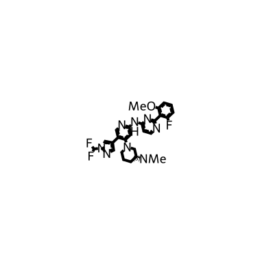 CN[C@H]1CCCN(c2cc(Nc3ccnc(-c4c(F)cccc4OC)n3)ncc2-c2cnn(C(F)F)c2)C1